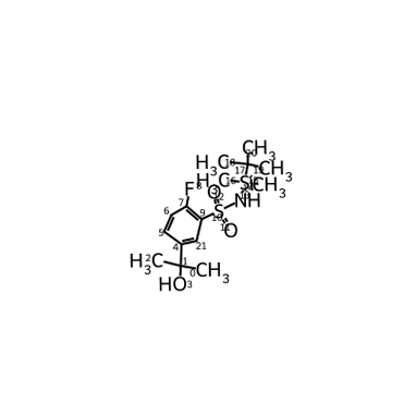 CC(C)(O)c1ccc(F)c(S(=O)(=O)N[Si](C)(C)C(C)(C)C)c1